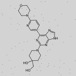 OCC1(O)CCN(c2nc(-c3ccc(N4CCOCC4)nc3)c3nc[nH]c3n2)CC1